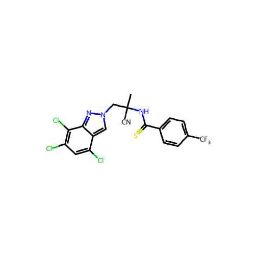 CC(C#N)(Cn1cc2c(Cl)cc(Cl)c(Cl)c2n1)NC(=S)c1ccc(C(F)(F)F)cc1